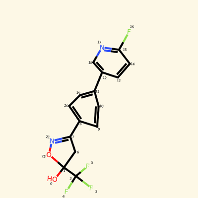 OC1(C(F)(F)F)CC(c2ccc(-c3ccc(F)nc3)cc2)=NO1